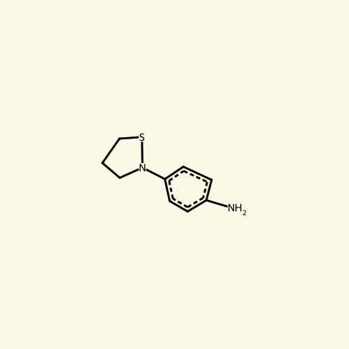 Nc1ccc(N2CCCS2)cc1